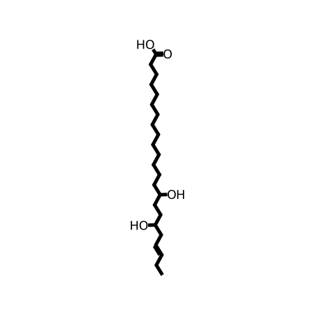 CCC=CCC(O)CCC(O)CCCCCCCCCCCCCC(=O)O